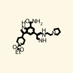 CCS(=O)(=O)N1CCC(c2c[nH]c3c(C(N)=O)cc(/C(C=N)=C/NCCN4CCCC4)cc23)CC1